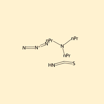 CCCN(CCC)CCC.N=C=S.[N-]=[N+]=[N-]